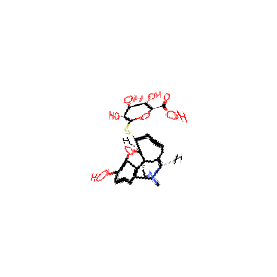 CN1CC[C@]23c4c5ccc(O)c4O[C@H]2[C@H](SC2O[C@H](C(=O)O)[C@@H](O)[C@H](O)[C@H]2O)C=CC3[C@H]1C5